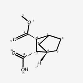 COC(=O)[C@@H]1C2CC[C@@H](C2)[C@@H]1C(=O)O